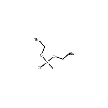 CCC(C)CO[Si](C)(Cl)OCC(C)CC